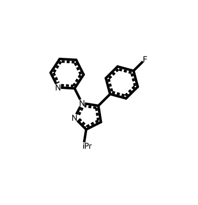 CC(C)c1cc(-c2ccc(F)cc2)n(-c2ccccn2)n1